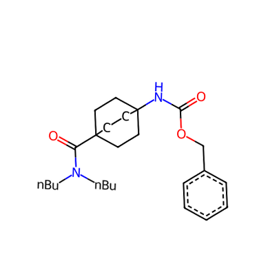 CCCCN(CCCC)C(=O)C12CCC(NC(=O)OCc3ccccc3)(CC1)CC2